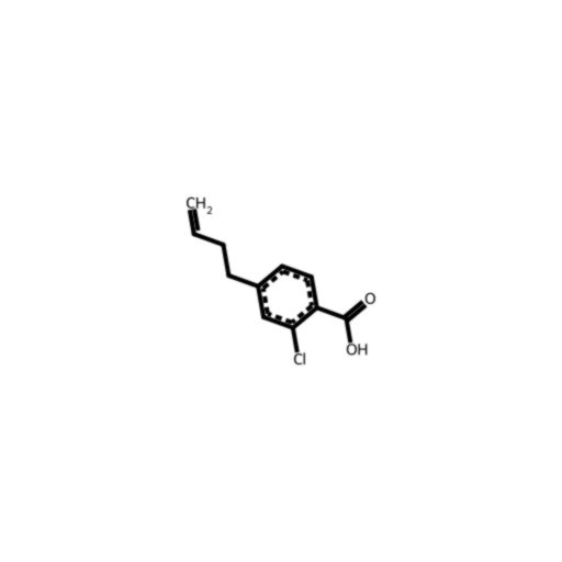 C=CCCc1ccc(C(=O)O)c(Cl)c1